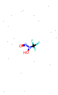 O=NN(O)C(F)(F)F